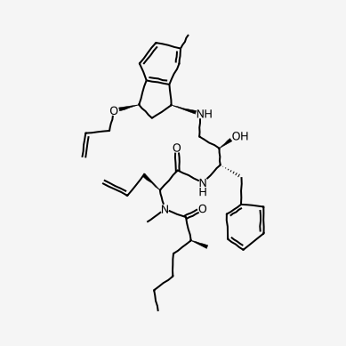 C=CCO[C@@H]1C[C@H](NC[C@@H](O)[C@H](Cc2ccccc2)NC(=O)[C@H](CC=C)N(C)C(=O)[C@@H](C)CCCC)c2cc(C)ccc21